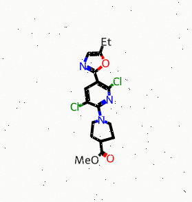 CCc1cnc(-c2cc(Cl)c(N3CCC(C(=O)OC)CC3)nc2Cl)o1